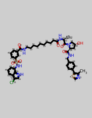 Cc1ncsc1-c1ccc(CNC(=O)[C@@H]2C[C@@H](O)CN2C(=O)[C@@H](NC(=O)CCCCCCCCCNC(=O)c2cccc(S(=O)(=O)Nc3cccc4c(Cl)c[nH]c34)c2)C(C)(C)C)cc1